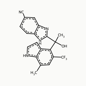 Cc1cc(C(F)(F)F)c(C(C)(O)c2nc3cc(C#N)ccc3[nH]2)c2cc[nH]c12